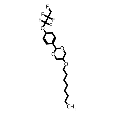 CCCCCCCCOC1COC(C2=CCC(OC(F)(F)C(F)(F)CF)C=C2)OC1